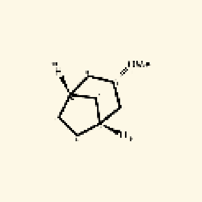 CO[C@@H]1C[C@@H]2CC[C@@H](C2)C1